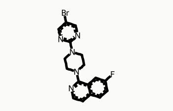 Fc1ccc2ccnc(N3CCN(c4ncc(Br)cn4)CC3)c2c1